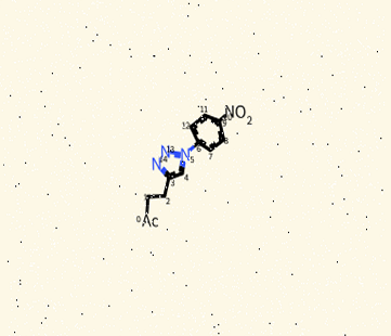 CC(=O)CCc1cn(-c2ccc([N+](=O)[O-])cc2)nn1